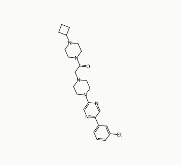 CCc1cccc(-c2cnc(N3CCN(CC(=O)N4CCN(C5CCC5)CC4)CC3)cn2)c1